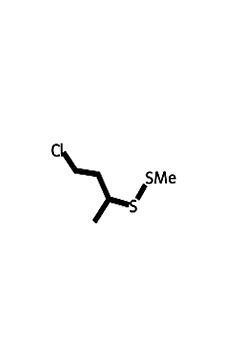 CSSC(C)CCCl